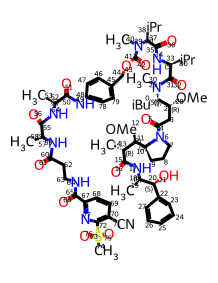 CC[C@H](C)[C@@H]([C@@H](CC(=O)N1CCC[C@H]1[C@H](OC)[C@@H](C)C(=O)N[C@H](C)[C@@H](O)c1ccccc1)OC)N(C)C(=O)[C@@H](NC(=O)[C@H](C(C)C)N(C)C(=O)OCc1ccc(NC(=O)[C@H](C)NC(=O)[C@H](C)NC(=O)CCNC(=O)c2ccc(C#N)c(S(C)(=O)=O)n2)cc1)C(C)C